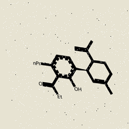 C=C(C)C1CCC(C)=C[C@H]1c1ccc(CCC)c(C(=O)CC)c1O